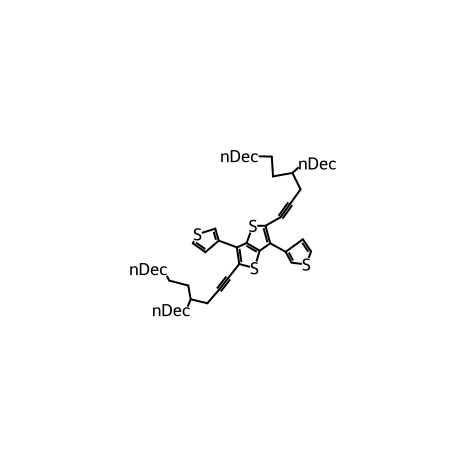 CCCCCCCCCCCCC(CC#Cc1sc2c(-c3ccsc3)c(C#CCC(CCCCCCCCCC)CCCCCCCCCCCC)sc2c1-c1ccsc1)CCCCCCCCCC